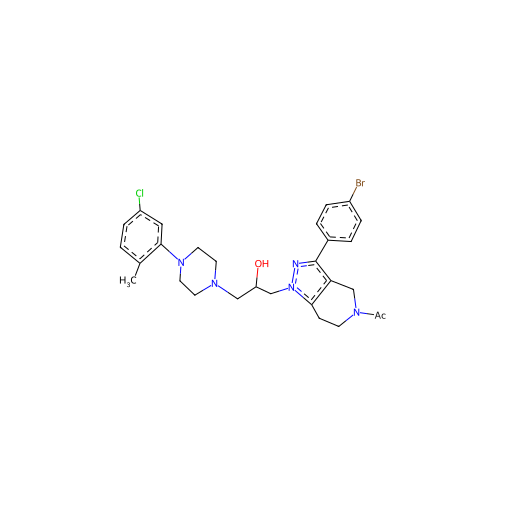 CC(=O)N1CCc2c(c(-c3ccc(Br)cc3)nn2CC(O)CN2CCN(c3cc(Cl)ccc3C)CC2)C1